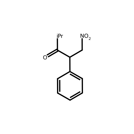 CC(C)C(=O)C(C[N+](=O)[O-])c1ccccc1